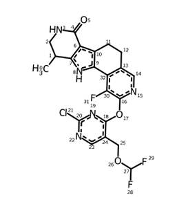 CC1CNC(=O)c2c1[nH]c1c2CCc2cnc(Oc3nc(Cl)ncc3COC(F)F)c(F)c2-1